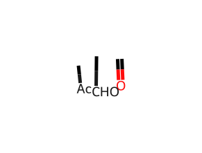 C=O.CC(C)=O.CC=O